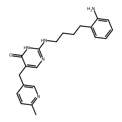 Cc1ccc(Cc2cnc(NCCCCc3ccccc3N)[nH]c2=O)cn1